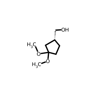 COC1(OC)CC[C@@H](CO)C1